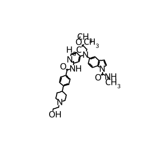 CNC(=O)n1ccc2cc(N(CC(C)(C)OC)c3ccnc(NC(=O)c4ccc(C5CCN(CCO)CC5)cc4)c3)ccc21